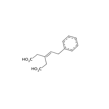 O=C(O)CC(=CCc1ccccc1)CC(=O)O